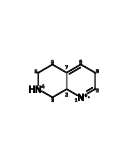 C1=[N+]C2CNCCC2=CC1